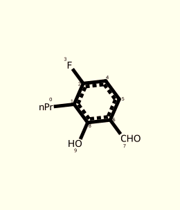 CCCc1c(F)ccc(C=O)c1O